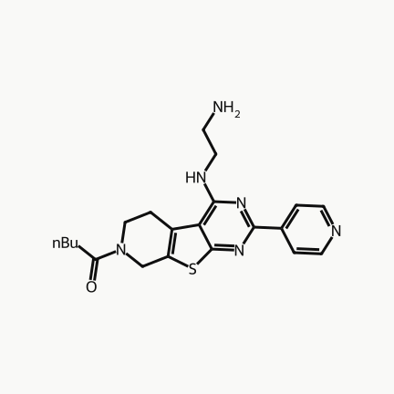 CCCCC(=O)N1CCc2c(sc3nc(-c4ccncc4)nc(NCCN)c23)C1